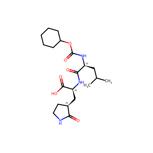 CC(C)C[C@H](NC(=O)OC1CCCCC1)C(=O)N[C@@H](C[C@@H]1CCNC1=O)C(=O)O